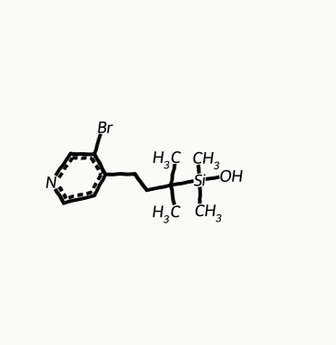 CC(C)(CCc1ccncc1Br)[Si](C)(C)O